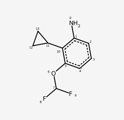 Nc1cc[c]c(OC(F)F)c1C1CC1